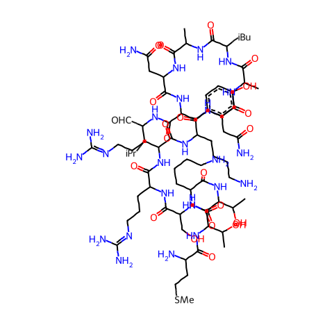 CCC(C)C(NC(=O)C(C)NC(=O)C(CC(N)=O)NC(=O)C(CCCCN)NC(=O)C(CCCN=C(N)N)NC(=O)C(CCCN=C(N)N)NC(=O)C(CO)NC(=O)C(NC(=O)C(CCCCN)NC(=O)C(NC(=O)C(N)CCSC)C(C)O)C(C)O)C(=O)NC(C)C(=O)NC(CC(N)=O)C(=O)NC(Cc1ccc(O)cc1)C(=O)NC(C=O)CC(C)C